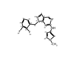 Cn1cc(Nc2ncc3cnn(Cc4cccc(F)c4F)c3n2)cn1